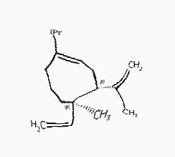 C=C[C@@]1(C)CCC(C(C)C)=C[C@@H]1C(=C)C